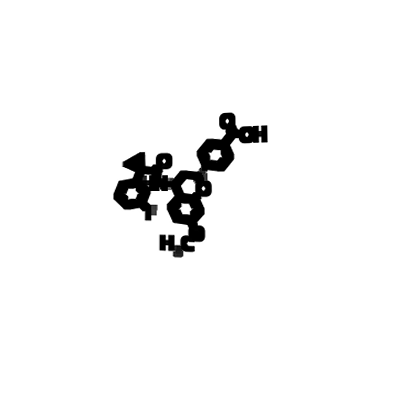 COc1ccc2c(c1)O[C@@H](c1ccc(C(=O)O)cc1)C[C@H]2NC(=O)C1(c2cccc(F)c2)CC1